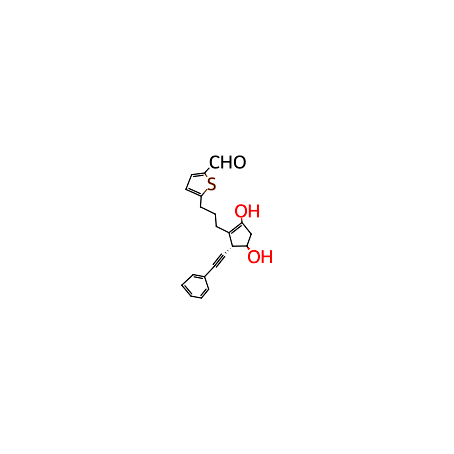 O=Cc1ccc(CCCC2=C(O)C[C@@H](O)[C@@H]2C#Cc2ccccc2)s1